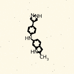 Cc1cc2ccc(Nc3ccc(-c4cn[nH]c4)cc3)cc2[nH]1